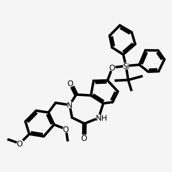 COc1ccc(CN2CC(=O)Nc3ccc(O[Si](c4ccccc4)(c4ccccc4)C(C)(C)C)cc3C2=O)c(OC)c1